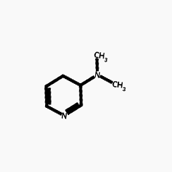 CN(C)C1C=NC=CC1